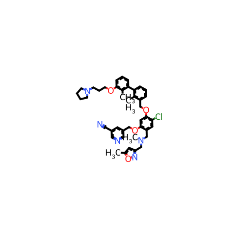 Cc1cc(CN(C)Cc2cc(Cl)c(OCc3cccc(-c4cccc(OCCCN5CCCC5)c4C)c3C)cc2OCc2cncc(C#N)c2)no1